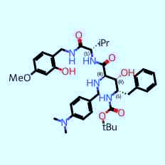 COc1ccc(CNC(=O)[C@@H](NC(=O)[C@H](NCc2ccc(N(C)C)cc2)[C@H](O)[C@H](Cc2ccccc2)NC(=O)OC(C)(C)C)C(C)C)c(O)c1